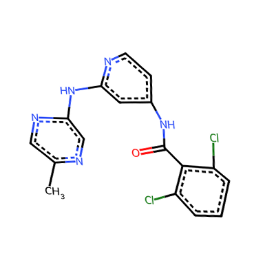 Cc1cnc(Nc2cc(NC(=O)c3c(Cl)cccc3Cl)ccn2)cn1